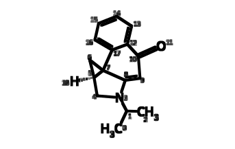 CC(C)N1C[C@H]2CC23C1=CC(=O)c1ccccc13